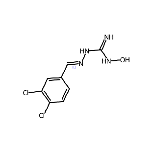 N=C(NO)N/N=C/c1ccc(Cl)c(Cl)c1